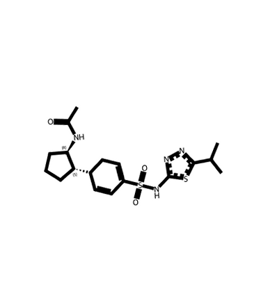 CC(=O)N[C@@H]1CCC[C@H]1C1C=CC(S(=O)(=O)Nc2nnc(C(C)C)s2)=CC1